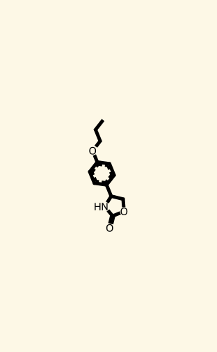 CCCOc1ccc(C2COC(=O)N2)cc1